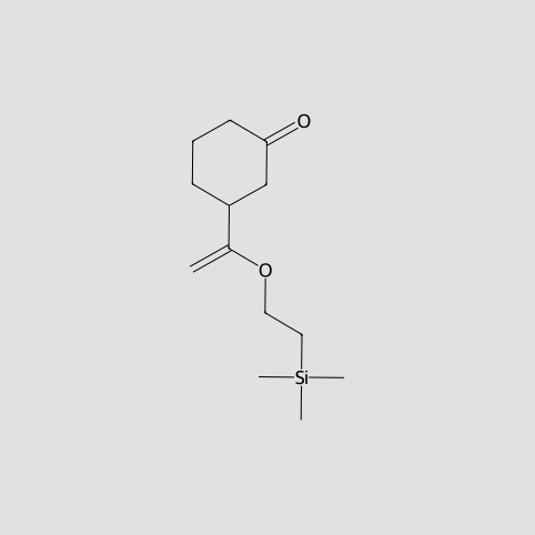 C=C(OCC[Si](C)(C)C)C1CCCC(=O)C1